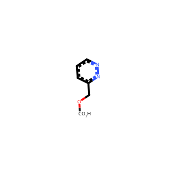 O=C(O)OCc1cccnn1